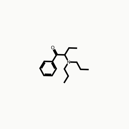 CCCN(CCC)C(CC)C(=O)c1ccccc1